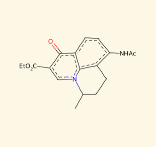 CCOC(=O)c1cn2c3c(c(NC(C)=O)ccc3c1=O)CCC2C